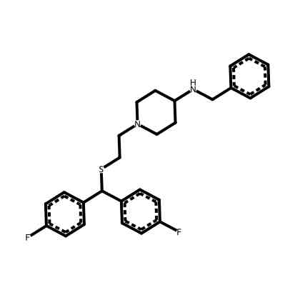 Fc1ccc(C(SCCN2CCC(NCc3ccccc3)CC2)c2ccc(F)cc2)cc1